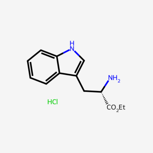 CCOC(=O)[C@@H](N)Cc1c[nH]c2ccccc12.Cl